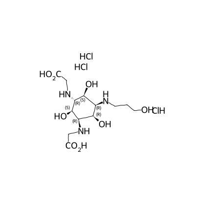 Cl.Cl.Cl.O=C(O)CN[C@H]1[C@@H](O)[C@H](NCC(=O)O)[C@@H](O)[C@@H](NCCCO)[C@H]1O